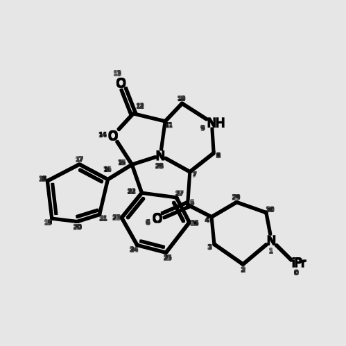 CC(C)N1CCC(C(=O)C2CNCC3C(=O)OC(c4ccccc4)(c4ccccc4)N32)CC1